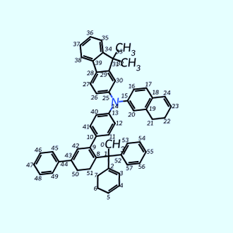 CC(C1=CC=CCC1)(C1=C(c2ccc(N(c3ccc4c(c3)CCC=C4)c3ccc4c(c3)C(C)(C)c3ccccc3-4)cc2)C=C(c2ccccc2)CC1)c1ccccc1